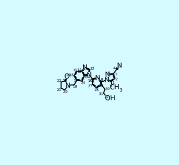 Cc1cc(C#N)nn1-c1nc(-n2cnc3ccc(CN4CCCC4=O)cc32)ccc1CCO